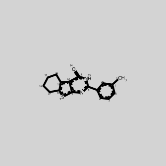 Cc1cccc(-c2nc3sc4c(c3c(=O)[nH]2)CCCC4)c1